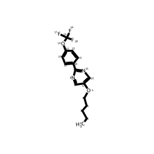 CCCCCOc1cnc(-c2ccc(OC(F)(F)F)cc2)nc1